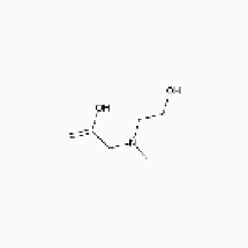 C=C(O)CN(C)CCO